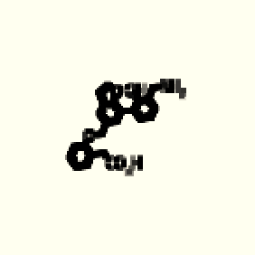 NCc1cccc(-c2cc(COc3ccccc3CC(=O)O)cc3ccoc23)c1O